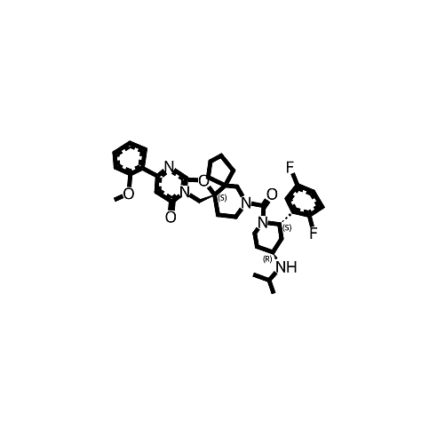 COc1ccccc1-c1cc(=O)n(C[C@]2(OC)CCN(C(=O)N3CC[C@@H](NC(C)C)C[C@H]3c3cc(F)ccc3F)CC23CCCC3)cn1